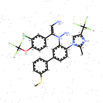 CSc1cccc(-c2ccc(-n3cc(C(F)(F)F)nc3C)c(N(N)/C(=C\N)c3ccc(OC(F)(F)F)c(Cl)c3)c2)c1